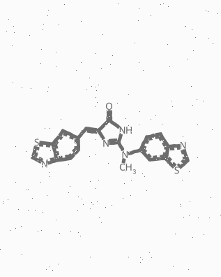 CN(C1=NC(=Cc2ccc3ncsc3c2)C(=O)N1)c1ccc2ncsc2c1